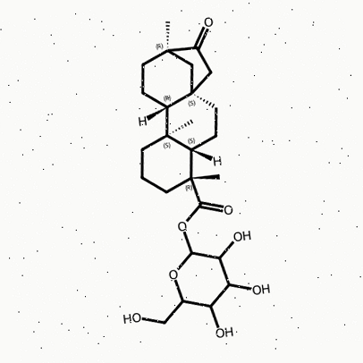 C[C@]12CC[C@@H]3[C@](CC[C@H]4[C@@]3(C)CCC[C@@]4(C)C(=O)OC3OC(CO)C(O)C(O)C3O)(CC1=O)C2